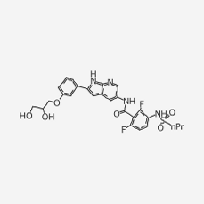 CCCS(=O)(=O)Nc1ccc(F)c(C(=O)Nc2cnc3[nH]c(-c4cccc(OCC(O)CO)c4)cc3c2)c1F